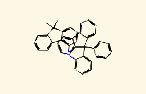 CC1(C)c2ccccc2-c2c(Nc3ccccc3C3(c4ccccc4)c4ccccc4-c4ccccc43)cccc21